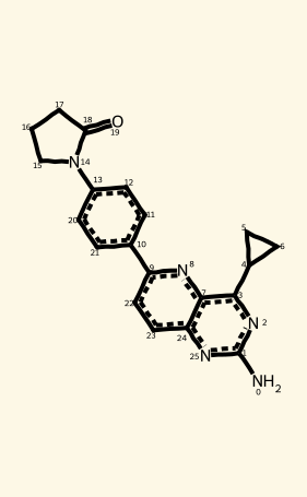 Nc1nc(C2CC2)c2nc(-c3ccc(N4CCCC4=O)cc3)ccc2n1